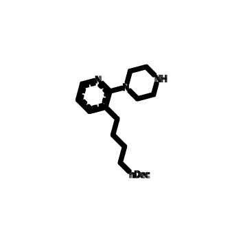 CCCCCCCCCCCCCCc1cccnc1N1CCNCC1